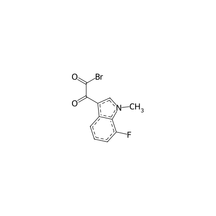 Cn1cc(C(=O)C(=O)Br)c2cccc(F)c21